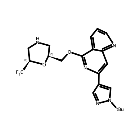 CC(C)(C)n1cc(-c2cc3ncccc3c(OC[C@@H]3CNC[C@H](C(F)(F)F)O3)n2)cn1